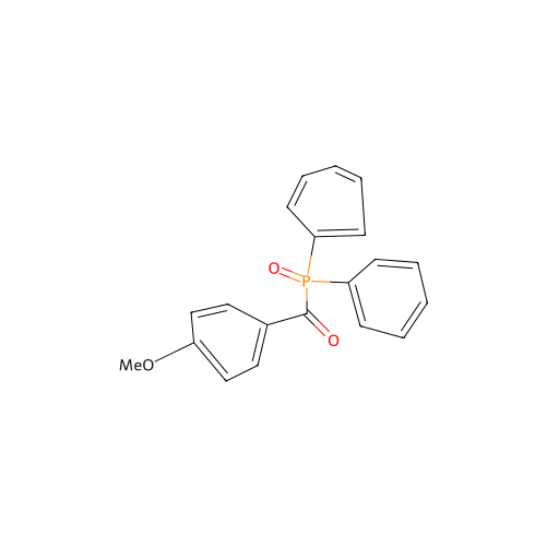 COc1ccc(C(=O)P(=O)(c2ccccc2)c2ccccc2)cc1